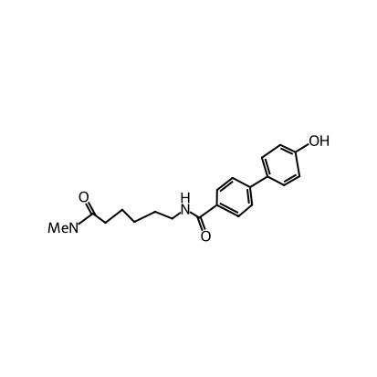 CNC(=O)CCCCCNC(=O)c1ccc(-c2ccc(O)cc2)cc1